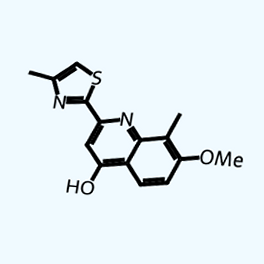 COc1ccc2c(O)cc(-c3nc(C)cs3)nc2c1C